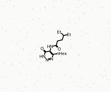 CCCCCCc1nn[nH]c(=O)c1NC(=O)CCC(CC)CC